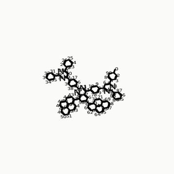 CC1C=CC(c2cc(-c3ccc(-c4nc(-c5ccc(-c6cc(-c7ccccc7)nc(-c7ccccc7)n6)cc5)nc5c(-c6ccc7ccc8cccc9ccc6c7c89)cc(-c6ccc7ccc8cccc9ccc6c7c89)cc45)cc3)nc(-c3ccccc3)n2)=CC1